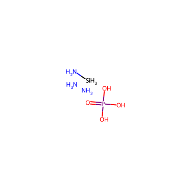 N.N.N[SiH3].O=P(O)(O)O